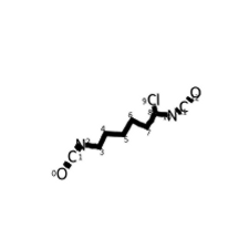 O=C=NCCCCCC(Cl)N=C=O